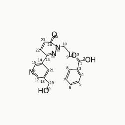 O=C(O)c1ccccc1.[Li][CH2]n1nc(-c2cncc(CO)c2)ccc1=O